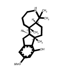 COc1cc(O)c2c(c1)C[C@H]1[C@]3(C)CCCNC(C)(C)[C@H]3CC[C@]21C